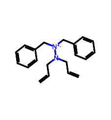 C=CCN(CC=C)[N+](Cc1ccccc1)Cc1ccccc1